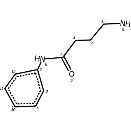 NCCCC(=O)Nc1cc[c]cc1